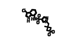 CC1(Cn2cc(S(=O)(=O)Nc3cccc4c(Cl)c[nH]c34)cn2)CS(=O)(=O)C1